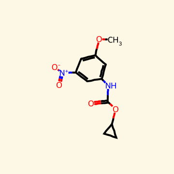 COc1cc(NC(=O)OC2CC2)cc([N+](=O)[O-])c1